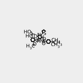 COc1ccccc1Oc1c(NS(=O)(=O)c2ccc(C(C)(C)C)cc2)nc(-c2cccs2)nc1OCC(O)CO